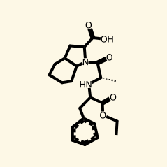 CCOC(=O)C(Cc1ccccc1)N[C@@H](C)C(=O)N1C(C(=O)O)CC2CCCCC21